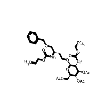 C=CCOC(=O)N[C@@H](CCO[C@@H]1O[C@H](COC(C)=O)[C@@H](OC(C)=O)[C@H](OC(C)=O)[C@H]1NC(=O)OCC(Cl)(Cl)Cl)COCc1ccccc1